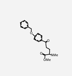 CNC(CCC(=O)c1ccc(OCc2ccccc2)cc1)C(=O)OC